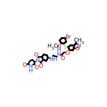 COc1ccc(Br)cc1Sc1cc2c(C)noc2cc1OCC(=O)NCCNc1ccc2c(c1)C(=O)N(C1CCC(=O)NC1=O)C2=O